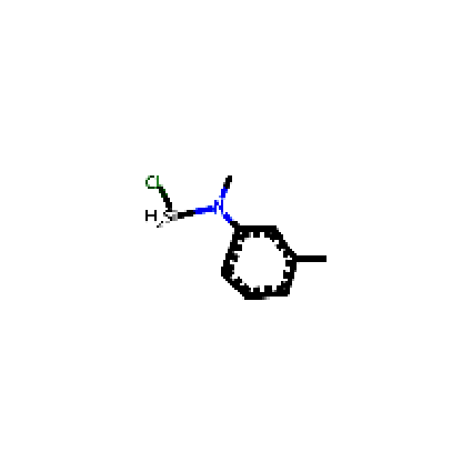 Cc1cccc(N(C)[SiH2]Cl)c1